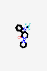 O=C1c2c(n(C(F)(F)F)c3ccccc23)CCN1N1CCCCC1